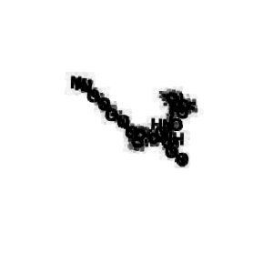 COCCOC(=O)C[C@H](NC(=O)CNC(=O)CCCN(C(=O)OC(C)(C)C)c1cc(C)ccn1)c1ccc(-c2ccc(OCCOCCOCCOCCOCCN=[N+]=[N-])c3ccccc23)cc1